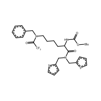 CC(C)(C)OC(=O)NC(CCCCN(Cc1ccccc1)C(=O)C(F)(F)F)C(=O)N(Cc1cccs1)Cc1cccs1